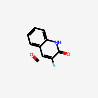 C=O.O=c1[nH]c2ccccc2cc1F